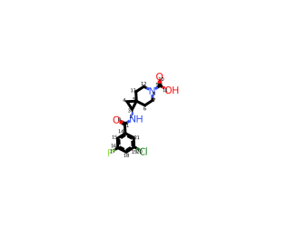 O=C(N[C@H]1CC12CCN(C(=O)O)CC2)c1cc(F)cc(Cl)c1